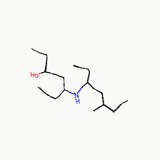 CCC(C)CC(CC)NC(CC)CC(O)CC